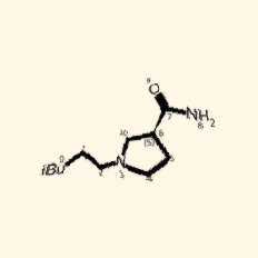 CCC(C)CCN1CC[C@H](C(N)=O)C1